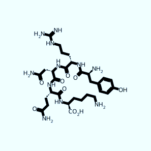 N=C(N)NCCC[C@H](NC(=O)[C@@H](N)Cc1ccc(O)cc1)C(=O)N[C@@H](CC(N)=O)C(=O)N[C@@H](CCC(N)=O)C(=O)N[C@@H](CCCCN)C(=O)O